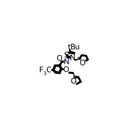 CC(C)(C)c1cn(C[C@H]2CCCO2)/c(=N/C(=O)c2cc(C(F)(F)F)ccc2OCC[C@H]2CCCO2)s1